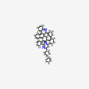 c1ccc(-c2ccc(-c3cc(-c4cccc(-c5cccc(-c6nc7ccccc7c7c8ccccc8c8ccccc8c67)c5)c4)nc(-c4ccccc4)n3)cc2)cc1